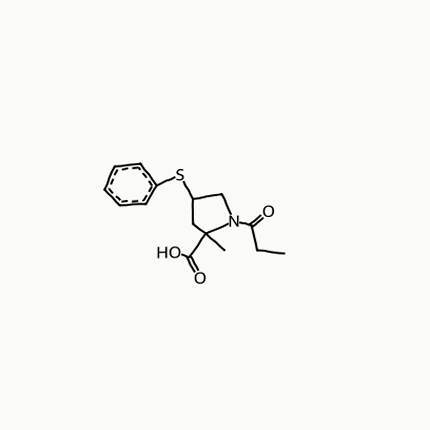 CCC(=O)N1CC(Sc2ccccc2)CC1(C)C(=O)O